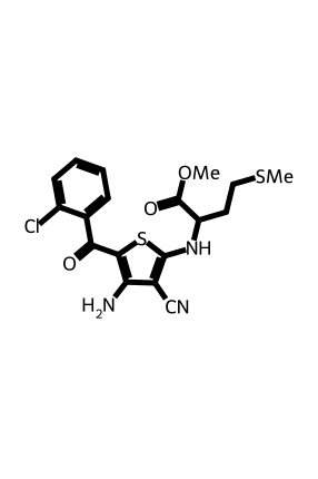 COC(=O)C(CCSC)Nc1sc(C(=O)c2ccccc2Cl)c(N)c1C#N